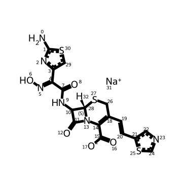 Nc1nc(C(=NO)C(=O)NC2C(=O)N3C(C(=O)[O-])=C(C=Cc4cncs4)CS[C@@H]23)cs1.[Na+]